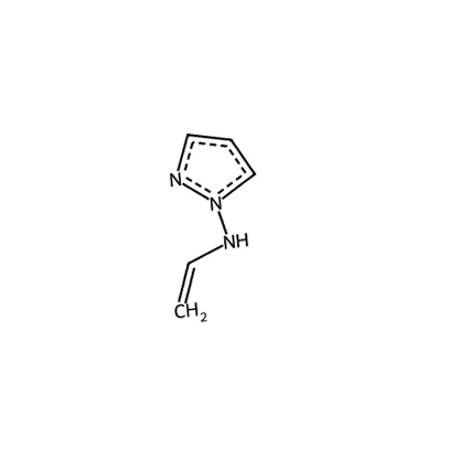 C=CNn1cccn1